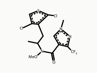 CON(C(=O)c1cn(C)nc1C(F)(F)F)C(C)Cc1c(Cl)csc1Cl